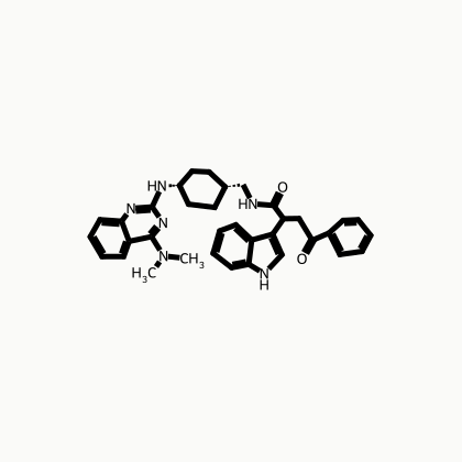 CN(C)c1nc(N[C@H]2CC[C@@H](CNC(=O)C(CC(=O)c3ccccc3)c3c[nH]c4ccccc34)CC2)nc2ccccc12